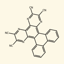 N#Cc1nc2c3nc(C#N)c(C#N)nc3c3c4ccccc4c4ccccc4c3c2nc1C#N